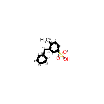 Cc1ccc(S(=O)(=O)O)cc1Cc1ccccc1